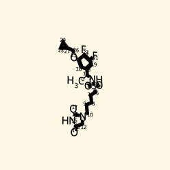 C[C@@H](NS(=O)(=O)CCCCCN1CC(=O)NC1=O)c1cc(F)c(F)c(OCC2CC2)c1